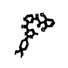 Cc1cc(Nc2cc(NC(=O)c3c(Cl)cccc3Cl)ccn2)nc(N2CCC(F)(F)CC2)n1